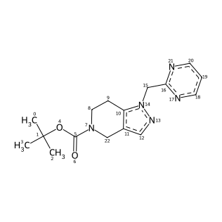 CC(C)(C)OC(=O)N1CCc2c(cnn2Cc2ncccn2)C1